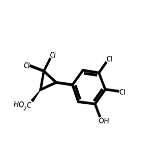 O=C(O)[C@@H]1C(c2cc(O)c(Cl)c(Cl)c2)C1(Cl)Cl